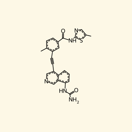 Cc1cnc(NC(=O)c2ccc(C)c(C#Cc3cncc4c(NC(N)=O)cccc34)c2)s1